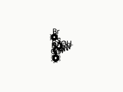 [N-]=[N+]=N[C@@H]1[C@@H](O)[C@@H](Sc2cc(Br)ccc2F)O[C@@H]2COC(c3ccccc3)O[C@H]12